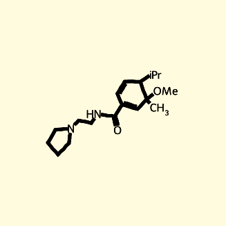 COC1(C)C=C(C(=O)NCCN2CCCC2)C=CC1C(C)C